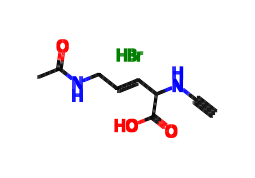 Br.C#CNC(C=CCNC(C)=O)C(=O)O